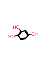 Oc1c[c]c(O)c(O)c1